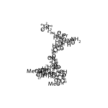 C=C1CC(C)C(=O)N1CCCCCC(=O)N[C@H](C(=O)N[C@@H](CCCNC(N)=O)C(=O)Nc1ccc(COC(=O)N2CCN(C(=O)[C@]3(O)Cc4c(O)c5c(c(O)c4[C@@H](O[C@H]4C[C@H]6[C@H](O[C@@H]7[C@@H](OC)OCCN76)[C@H](C)O4)C3)C(=O)c3c(OC)cccc3C5=O)CC2)cc1)C(C)C